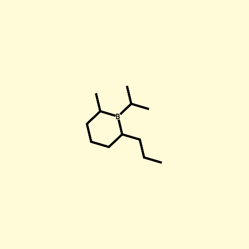 CCCC1CCCC(C)B1C(C)C